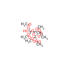 CC(=O)OCC(O)[C@H](COC(C)=O)O[C@H](OC(COC(C)=O)[C@H](COC(C)=O)OC(C)=O)C(C)OC(C)=O